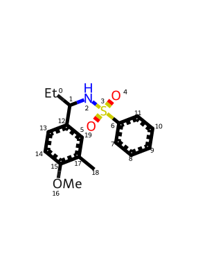 CCC(NS(=O)(=O)c1ccccc1)c1ccc(OC)c(C)c1